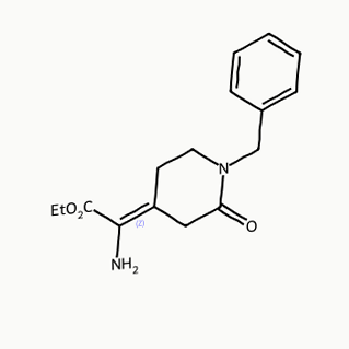 CCOC(=O)/C(N)=C1\CCN(Cc2ccccc2)C(=O)C1